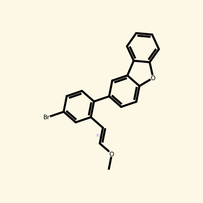 CO/C=C/c1cc(Br)ccc1-c1ccc2oc3ccccc3c2c1